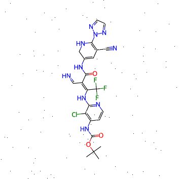 CC(C)(C)OC(=O)Nc1ccnc(N/C(=C(\C=N)C(=O)NC2=CC(C#N)=C(n3nccn3)NC2)C(F)(F)F)c1Cl